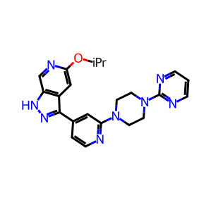 CC(C)Oc1cc2c(-c3ccnc(N4CCN(c5ncccn5)CC4)c3)n[nH]c2cn1